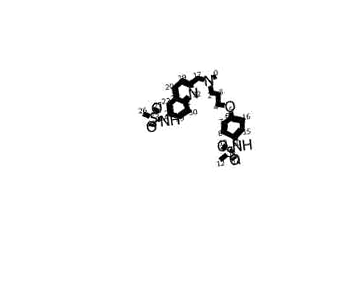 CN(CCCOc1ccc(NS(C)(=O)=O)cc1)Cc1ccc2cc(NS(C)(=O)=O)ccc2n1